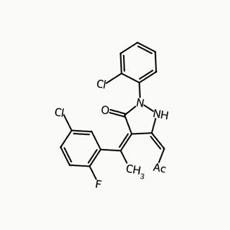 CC(=O)/C=c1/[nH]n(-c2ccccc2Cl)c(=O)/c1=C(/C)c1cc(Cl)ccc1F